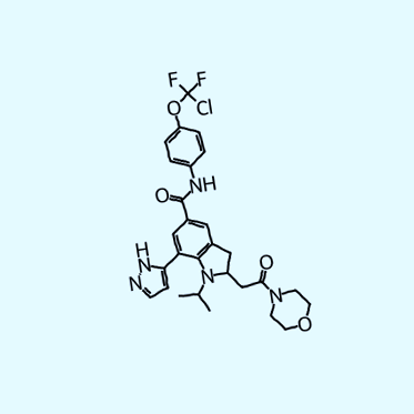 CC(C)N1c2c(cc(C(=O)Nc3ccc(OC(F)(F)Cl)cc3)cc2-c2ccn[nH]2)CC1CC(=O)N1CCOCC1